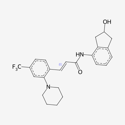 O=C(/C=C/c1ccc(C(F)(F)F)cc1N1CCCCC1)Nc1cccc2c1CC(O)C2